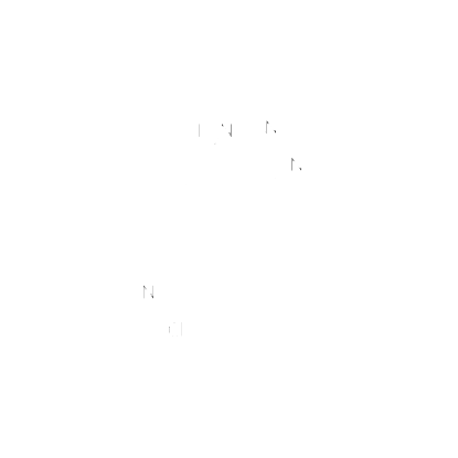 Cc1ncc(CCc2cccc(-c3cnc(Cl)c(C)c3)c2)c(N)n1